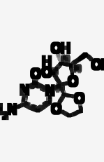 Nc1ccn([C@]2(C3OCCO3)O[C@H](CO)[C@@H](O)[C@H]2O)c(=O)n1